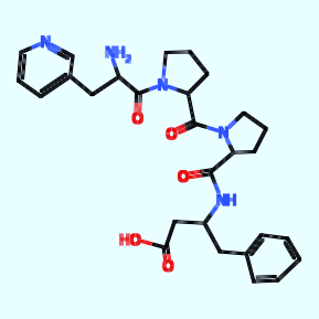 NC(Cc1cccnc1)C(=O)N1CCCC1C(=O)N1CCCC1C(=O)NC(CC(=O)O)Cc1ccccc1